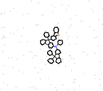 c1ccc(N(c2ccc3c(c2)C(c2ccccc2)(c2ccccc2)c2ccccc2-3)c2ccc3c(c2)C(c2ccccc2)(c2ccc4sc5ccccc5c4c2)c2ccccc2-3)cc1